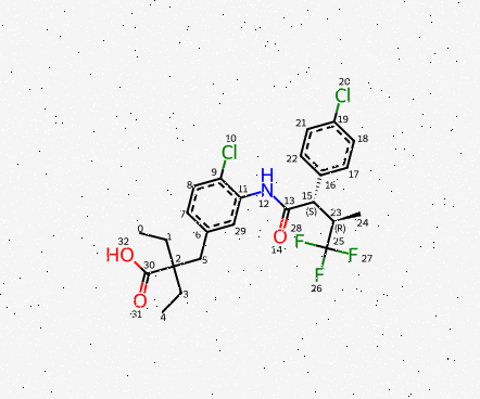 CCC(CC)(Cc1ccc(Cl)c(NC(=O)[C@H](c2ccc(Cl)cc2)[C@@H](C)C(F)(F)F)c1)C(=O)O